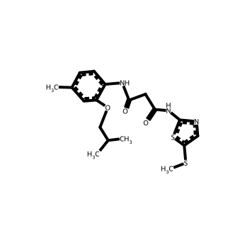 CSc1cnc(NC(=O)CC(=O)Nc2ccc(C)cc2OCC(C)C)s1